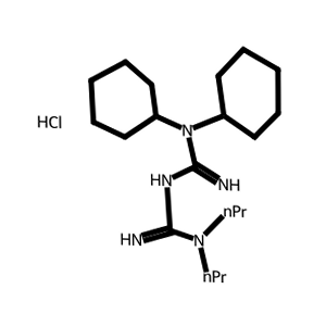 CCCN(CCC)C(=N)NC(=N)N(C1CCCCC1)C1CCCCC1.Cl